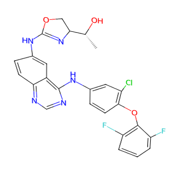 C[C@@H](O)C1COC(Nc2ccc3ncnc(Nc4ccc(Oc5c(F)cccc5F)c(Cl)c4)c3c2)=N1